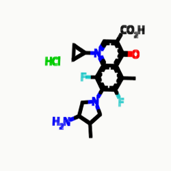 Cc1c(F)c(N2CC(C)C(N)C2)c(F)c2c1c(=O)c(C(=O)O)cn2C1CC1.Cl